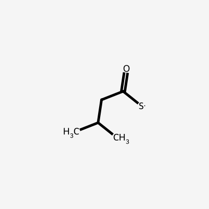 CC(C)CC(=O)[S]